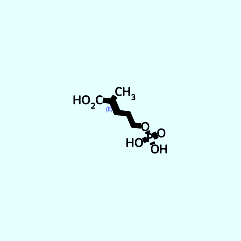 C/C(=C\CCOP(=O)(O)O)C(=O)O